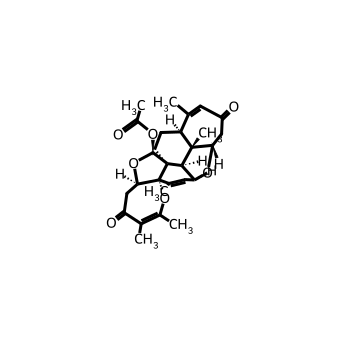 CC(=O)O[C@@H]1O[C@@H]2CC(=O)C(C)=C(C)O[C@]23C(C)=C[C@H]2O[C@H]4CC(=O)C=C(C)[C@@H]5CC[C@@]13[C@H]2[C@@]45C